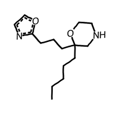 CCCCCC1(CCCc2ncco2)CNCCO1